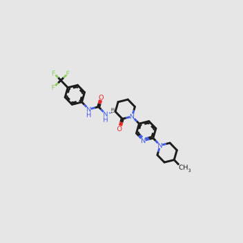 CC1CCN(c2ccc(N3CCC[C@@H](NC(=O)Nc4ccc(C(F)(F)F)cc4)C3=O)cn2)CC1